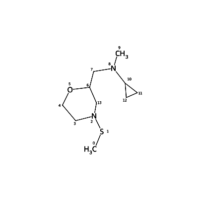 CSN1CCOC(CN(C)C2CC2)C1